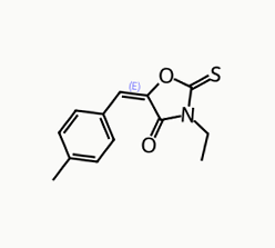 CCN1C(=O)/C(=C\c2ccc(C)cc2)OC1=S